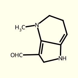 CN1CCC=C2NCC(C=O)=C21